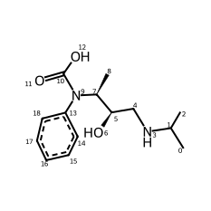 CC(C)NC[C@@H](O)[C@H](C)N(C(=O)O)c1ccccc1